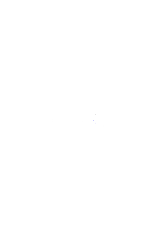 CCn1cc(B2OC(C)(C)C(C)(C)O2)cc(C(=O)O)c1=O